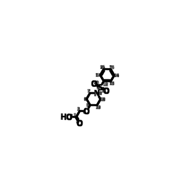 O=C(O)COC1CCN(S(=O)(=O)c2ccccc2)CC1